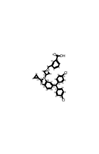 O=C(O)c1cccc(CN2CC(n3c(C4CC4)nc4ccc(C(c5ccc(Cl)cc5)c5ccc(Cl)cc5)cc43)C2)c1